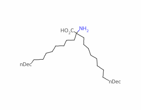 CCCCCCCCCCCCCCCCCCC(N)(CCCCCCCCCCCCCCCCCC)C(=O)O